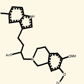 CCOc1cc2c(cc1OC)CCN(CC(CCc1c[nH]c3ccc(F)cc13)OC(C)=O)C2